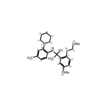 CCC(C)(Pc1ccc(C)cc1N1CCCCC1)c1cc(OC)ccc1OCOC